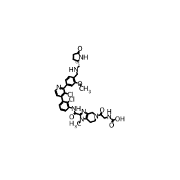 COc1cc(-c2nccc(-c3cccc(NC(=O)c4nc5c(n4C)CCN(C(=O)CNC(=O)O)C5)c3Cl)c2Cl)ccc1CNC[C@@H]1CCC(=O)N1